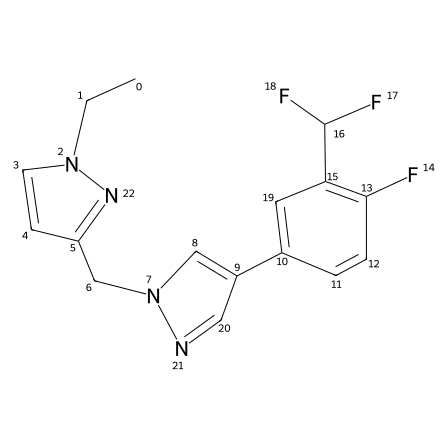 CCn1ccc(Cn2cc(-c3ccc(F)c(C(F)F)c3)cn2)n1